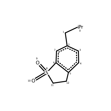 CC(C)Cc1ccc2c(c1)S(=O)(=O)CC2